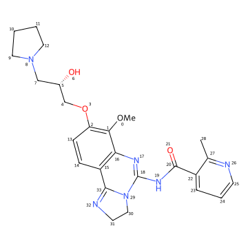 COc1c(OC[C@@H](O)CN2CCCC2)ccc2c1N=C(NC(=O)c1cccnc1C)N1CCN=C21